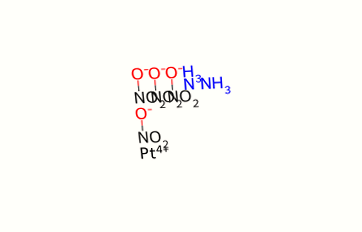 N.N.O=[N+]([O-])[O-].O=[N+]([O-])[O-].O=[N+]([O-])[O-].O=[N+]([O-])[O-].[Pt+4]